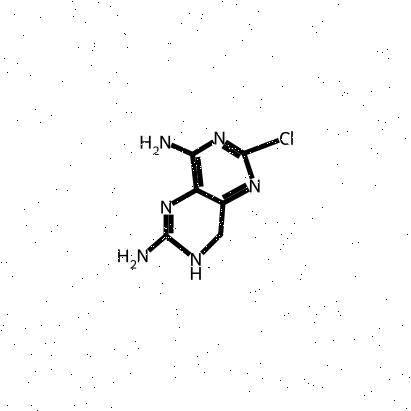 NC1=Nc2c(N)nc(Cl)nc2CN1